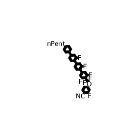 CCCCCc1ccc(-c2ccc(-c3ccc(-c4cc(F)c(C(F)(F)Oc5ccc(C#N)c(F)c5)c(F)c4)c(F)c3)c(F)c2)cc1